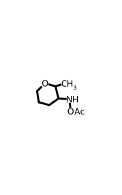 CC(=O)ONC1CCCOC1C